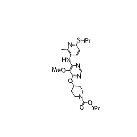 COc1c(Nc2ccc(SC(C)C)nc2C)ncnc1OC1CCN(C(=O)OC(C)C)CC1